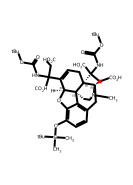 CN1CC[C@]23c4c5ccc(O[Si](C)(C)C(C)(C)C)c4O[C@H]2C(C(CC(=O)O)(NC(=O)OC(C)(C)C)C(=O)O)=CC[C@@]3(C(CC(=O)O)(NC(=O)OC(C)(C)C)C(=O)O)[C@H]1C5